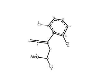 C=C=C(CC(CC)OC)c1c(Cl)cccc1Cl